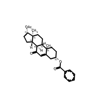 CC(=O)O[C@H]1CC[C@H]2[C@@H]3C(=O)C=C4C[C@@H](OC(=O)c5ccccc5)CC[C@]4(C)[C@H]3CC[C@]12C